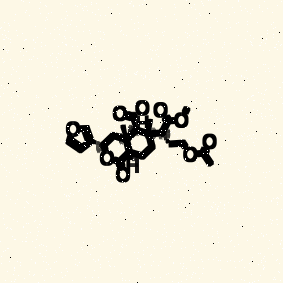 COC(=O)[C@H](CCOC(C)=O)[C@]1(C)CC[C@H]2C(=O)O[C@H](c3ccoc3)C[C@]2(C)[C@H]1C(=O)O